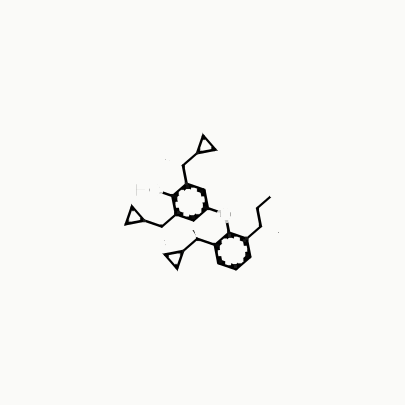 CC[C@H](C)c1cccc([C@H](C)C2CC2)c1Oc1cc([C@H](C)C2CC2)c(O)c([C@H](C)C2CC2)c1